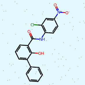 O=C(Nc1ccc([N+](=O)[O-])cc1Cl)c1cccc(-c2ccccc2)c1O